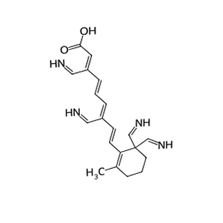 CC1=C(/C=C/C(C=N)=C/C=C/C(C=N)=C/C(=O)O)C(C=N)(C=N)CCC1